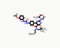 COCCN1CC(C)(C)Oc2nc(N3CCOCC3C)nc(-c3ccc(NC(=O)Nc4cccc(OC(F)F)c4)cc3)c2C1=O